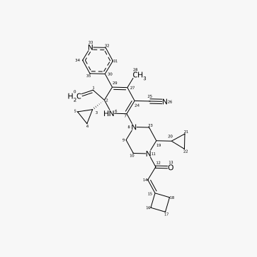 C=C[C@]1(C2CC2)NC(N2CCN(C(=O)C=C3CCC3)C(C3CC3)C2)=C(C#N)C(C)=C1c1ccncc1